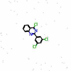 Clc1cc(Cl)cc(-c2nc(Cl)c3ccccc3n2)c1